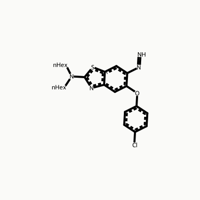 CCCCCCN(CCCCCC)c1nc2cc(Oc3ccc(Cl)cc3)c(N=N)cc2s1